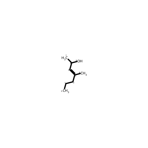 CCCC(C)=CC(C)O